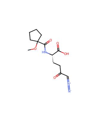 COC1(C(=O)N[C@@H](CCC(=O)C=[N+]=[N-])C(=O)O)CCCC1